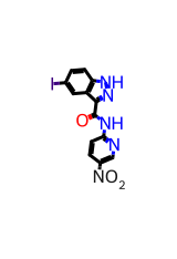 O=C(Nc1ccc([N+](=O)[O-])cn1)c1n[nH]c2ccc(I)cc12